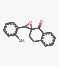 Cc1ccccc1C1OC12CCc1ccccc1C2=O